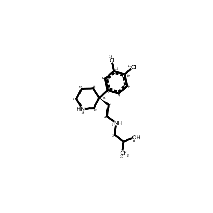 OC(CNCC[C@]1(c2ccc(Cl)c(Cl)c2)CCCNC1)C(F)(F)F